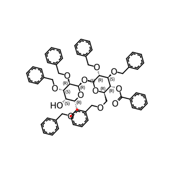 O=C(O[C@H]1[C@H](OCc2ccccc2)[C@@H](OCc2ccccc2)[C@H](O[C@H]2O[C@H](COCc3ccccc3)[C@H](O)[C@H](OCc3ccccc3)[C@H]2OCc2ccccc2)O[C@@H]1COCc1ccccc1)c1ccccc1